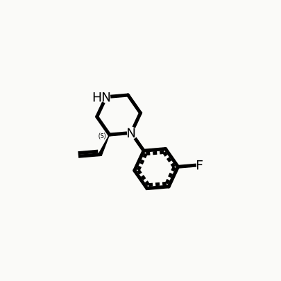 C=C[C@H]1CNCCN1c1cccc(F)c1